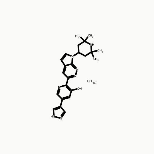 CC1(C)CC(n2ccc3cc(-c4ncc(-c5cn[nH]c5)cc4O)nnc32)CC(C)(C)N1.Cl.Cl